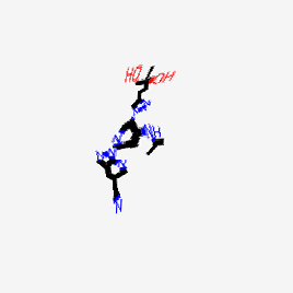 CC(C)Nc1cc(-n2ncc3cc(C#N)cnc32)ncc1-n1cc(CC[C@@](C)(O)CO)nn1